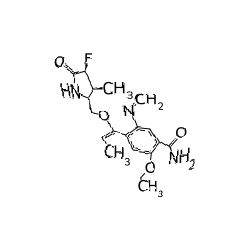 C=Nc1cc(C(N)=O)c(OCC)cc1/C(=C\C)OC[C@H]1NC(=O)[C@@H](F)[C@H]1C